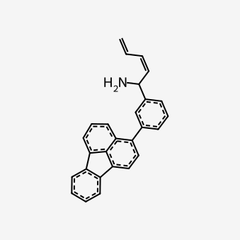 C=C/C=C\C(N)c1cccc(-c2ccc3c4c(cccc24)-c2ccccc2-3)c1